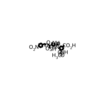 CS(=O)(=O)Nc1cc(NC(=O)[C@@H]2C[C@@H](C(C(=O)S)C(=O)OCc3ccc([N+](=O)[O-])cc3)CN2)cc(C(=O)O)c1